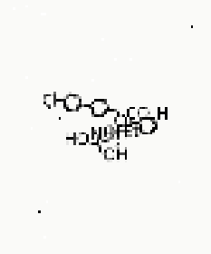 CCC(OCc1ccc(-c2ccc(Cl)cc2)cc1)(C(=O)O)c1ccccc1.NC(CO)(CO)CO